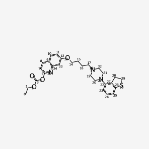 CCOC(=O)Oc1ccc2ccc(OCCCCN3CCN(c4cccc5c4CCS5)CC3)cc2n1